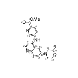 COC(=O)c1ccc(Nc2ccnc3ccc(N4CCOC(C)C4)cc23)cn1